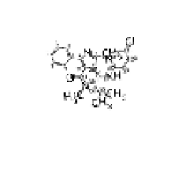 Cc1nc(-c2ccccc2)c(C(=O)N(C)[C@H](CNc2ccc(Cl)cn2)C(C)C)s1